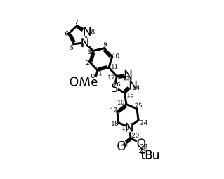 COc1cc(-n2cccn2)ccc1-c1nnc(C2=CCN(C(=O)OC(C)(C)C)CC2)s1